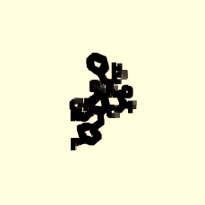 C/N=C\c1cc(O[C@H](c2ccccc2)[C@H](C)NC(=O)C(F)Cl)ccc1Cc1ccc(F)cc1